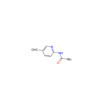 CC(C)(C)C(=O)Nc1ccc(C=O)cn1